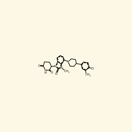 Cc1cc(C2CCN(c3cccc4c3n(C)c(=O)n4C3CCC(=O)NC3=O)CC2)ccc1Cl